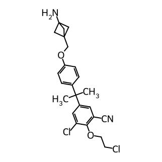 CC(C)(c1ccc(OCC23CC(N)(C2)C3)cc1)c1cc(Cl)c(OCCCl)c(C#N)c1